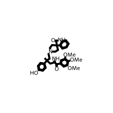 COc1cc(C(=O)C(=N)CC(C)(CCN2CCC(C(N)=O)(c3ccccc3)CC2)c2ccc(O)cc2)cc(OC)c1OC